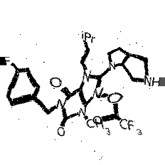 CC(C)CCN1c2c(n(C)c(=O)n(Cc3ccc(F)cc3)c2=O)N(OC(=O)C(F)(F)F)C1N1CCC2CNCC21